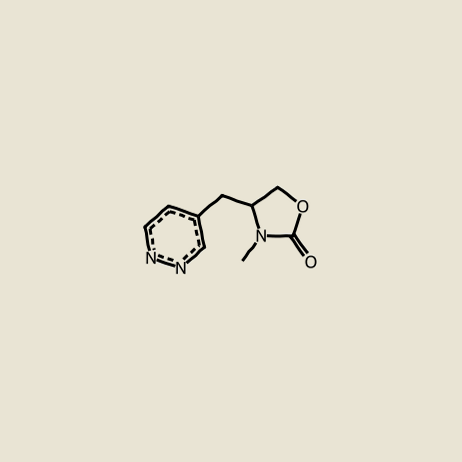 CN1C(=O)OCC1Cc1ccnnc1